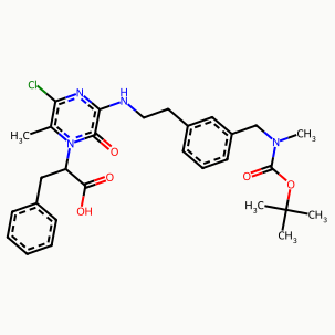 Cc1c(Cl)nc(NCCc2cccc(CN(C)C(=O)OC(C)(C)C)c2)c(=O)n1C(Cc1ccccc1)C(=O)O